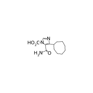 NC(=O)c1c(C2CCCCCCC2)ncn1C(=O)O